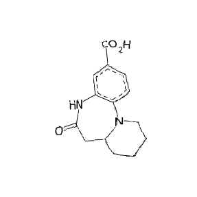 O=C1CC2CCCCN2c2ccc(C(=O)O)cc2N1